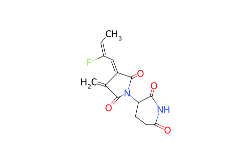 C=C1C(=O)N(C2CCC(=O)NC2=O)C(=O)/C1=C/C(F)=C\C